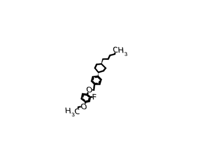 CCCCC[C@H]1CC[C@H](c2ccc(COc3ccc(OCC)cc3F)cc2)CC1